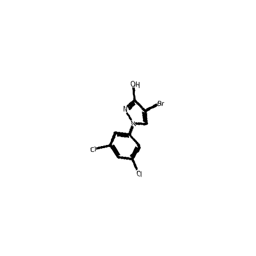 Oc1nn(-c2cc(Cl)cc(Cl)c2)cc1Br